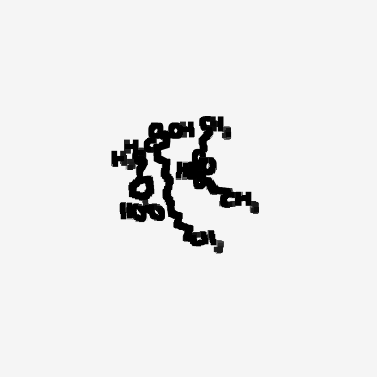 CCCCCCCCCCCCC(C)CC(=O)O.CCCCOP(=O)(O)OCCCC.CCC[C@H]1CC[C@H](C(=O)O)CC1